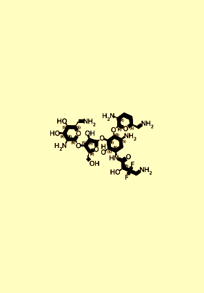 NC[C@@H]1O[C@H](O[C@H]2[C@@H](O)[C@H](O[C@@H]3[C@@H](O)[C@H](NC(=O)[C@@H](O)C(F)(F)CN)C[C@H](N)[C@H]3O[C@H]3O[C@H](CN)C=C[C@H]3N)O[C@@H]2CO)[C@H](N)[C@@H](O)[C@@H]1O